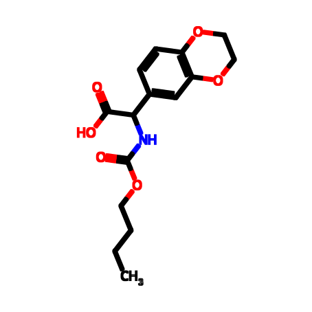 CCCCOC(=O)NC(C(=O)O)c1ccc2c(c1)OCCO2